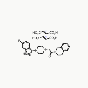 O=C(CN1CCN(c2n[nH]c3cc(F)ccc23)CC1)N1CCc2ccccc2C1.O=C(O)/C=C/C(=O)O.O=C(O)/C=C/C(=O)O